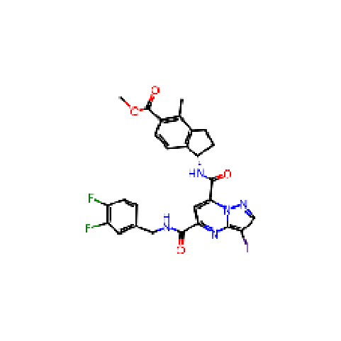 COC(=O)c1ccc2c(c1C)CC[C@@H]2NC(=O)c1cc(C(=O)NCc2ccc(F)c(F)c2)nc2c(I)cnn12